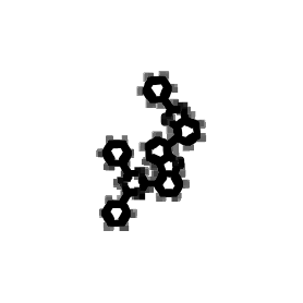 c1ccc(-c2nc(-c3ccccc3)nc(-c3cccc4oc5c(-c6cccc7nc(-c8ccccc8)oc67)cccc5c34)n2)cc1